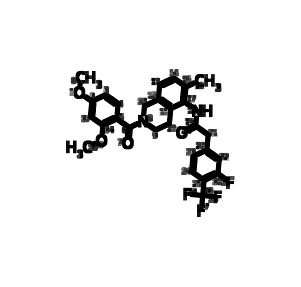 COc1ccc(C(=O)N2CCc3c(ccc(C)c3NC(=O)Cc3ccc(C(F)(F)F)c(F)c3)C2)c(OC)c1